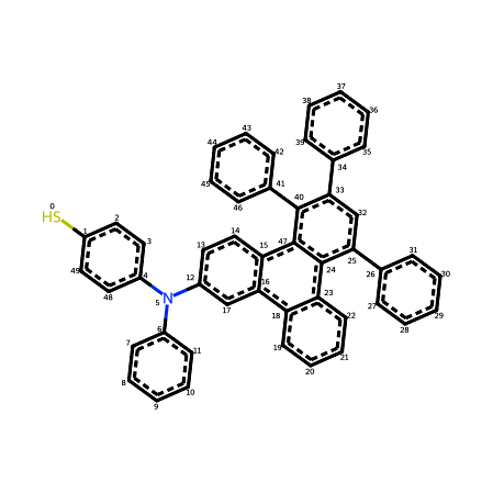 Sc1ccc(N(c2ccccc2)c2ccc3c(c2)c2ccccc2c2c(-c4ccccc4)cc(-c4ccccc4)c(-c4ccccc4)c32)cc1